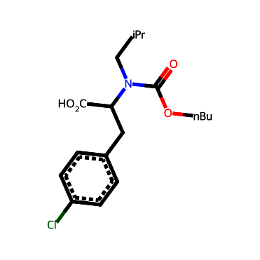 CCCCOC(=O)N(CC(C)C)C(Cc1ccc(Cl)cc1)C(=O)O